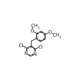 COc1ccc(Cc2c(Cl)ncnc2Cl)c(OC)c1